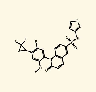 COc1cc([C@H]2CC2(F)F)c(F)cc1-n1c(=O)ccc2cc(S(=O)(=O)Nc3ccon3)ccc21